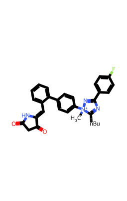 CCCCC1=NC(c2ccc(F)cc2)=N[N+]1(C)c1ccc(-c2ccccc2/C=C2\NC(=O)CC2=O)cc1